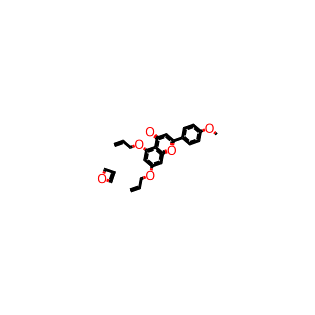 C1=COC1.C=CCOc1cc(OCC=C)c2c(=O)cc(-c3ccc(OC)cc3)oc2c1